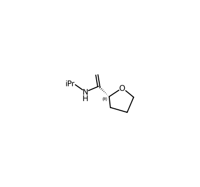 C=C(NC(C)C)[C@H]1CCCO1